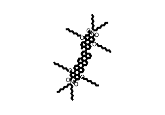 CCCCCCCCOc1cc2c3c(cc(OCCCCCCCC)c4c5ccc(-c6ccc7c8ccc9c%10ccc%11c%12c(OCCCCCCCC)cc%13c%14c(cc(OCCCCCCCC)c(c%15ccc(c%16ccc(c%17cccc6c%177)c8c%169)c%10c%15%11)c%14%12)C(=O)N(C(CCCCCCC)CCCCCCC)C%13=O)c6c(C)ccc(c1c34)c65)C(=O)N(C(CCCCCCC)CCCCCCC)C2=O